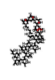 CC(O)CNCC(=O)N(CC(=O)N(CC(=O)N(CC(=O)N(CC(=O)N(CC(=O)N(CC(=O)N(CC(=O)N(CC(=O)N(CC(=O)N(CC(=O)N(CC(=O)N(CC(=O)N(CC(=O)N(CC(=O)N(CC(N)=O)CC(C)O)CC(C)O)CC(C)O)CC(C)O)CC(C)O)CC(C)O)CC(C)O)CC(C)O)CC(C)O)CC(C)O)CC(C)O)CC(C)O)CC(C)O)CC(C)O)CC(C)O